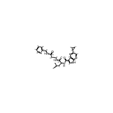 CC(C)CC(NC(=O)c1c[nH]c2ncc(C3CC3)nc12)C(=O)NCCC(=O)NCc1ccccn1